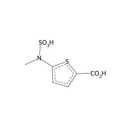 CN(c1ccc(C(=O)O)s1)S(=O)(=O)O